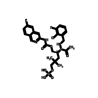 CC(=O)N(NCc1cccc(F)c1Cl)[C@H](COC(=O)Nc1cc2cc(F)ccc2cn1)CC(C)(C)COP(=O)(O)O